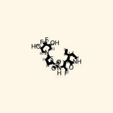 C=Cc1cc[nH]c(=O)c1/C=C(\CF)NS(=O)(=O)c1ccc(N2CC(O)C(F)(F)C(O)C2)s1